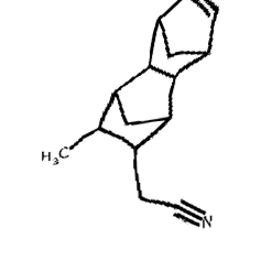 CC1C(CC#N)C2CC1C1C3C=CC(C3)C21